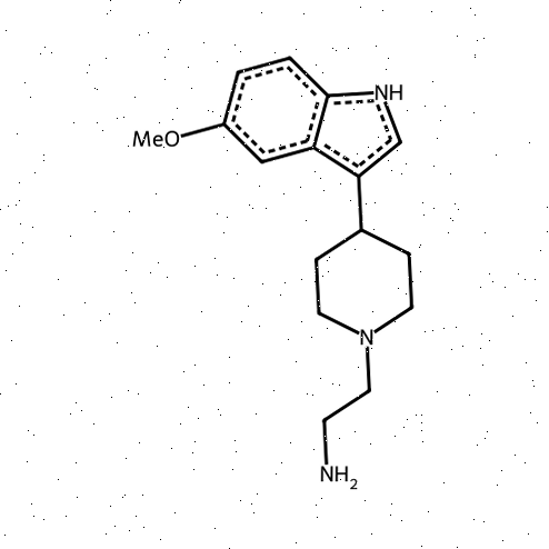 COc1ccc2[nH]cc(C3CCN(CCN)CC3)c2c1